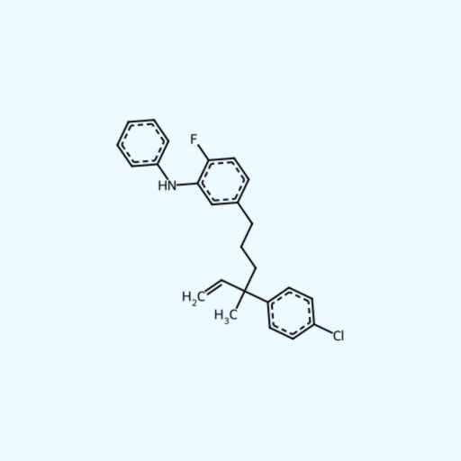 C=CC(C)(CCCc1ccc(F)c(Nc2ccccc2)c1)c1ccc(Cl)cc1